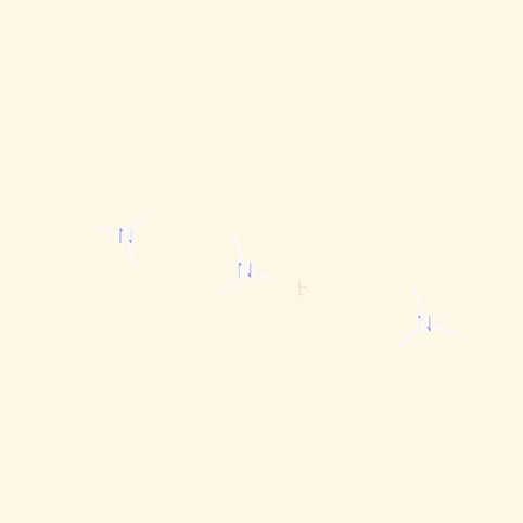 CN1c2ccccc2B(N2c3ccccc3N(C)c3ccccc32)c2ccccc21